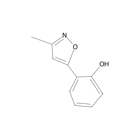 Cc1cc(-c2ccccc2O)on1